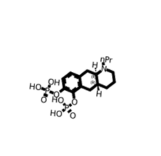 CCCN1CCC[C@@H]2Cc3c(ccc(OP(=O)(O)O)c3OP(=O)(O)O)C[C@H]21